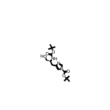 CC(C)(C)OC(=O)N[C@H](CO)Cc1cn(C(=O)OC(C)(C)C)cn1